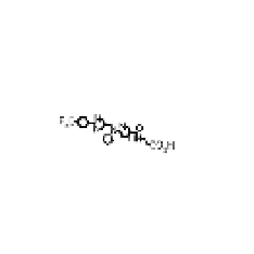 O=C(O)CCNC(=O)c1ccc(N(Cc2cnc(-c3ccc(C(F)(F)F)cc3)nc2)C2CCCC2)nc1